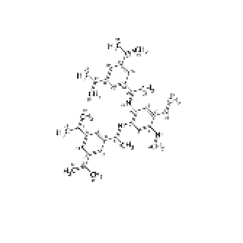 C=Nc1cc(N=C(C)c2cc(C(=C)C)cc(C(=C)C)c2)c(N=C(C)c2cc(C(=C)C)cc(C(=C)C)c2)cc1N=C